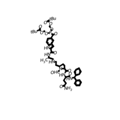 C[C@H](CNCCC1CCC(C(=O)NC(CCC(N)=O)C(=O)NC(c2ccccc2)c2ccccc2)N1C=O)NC(=O)c1cc2cc(C(=O)P(OCOC(=O)C(C)(C)C)OCOC(=O)C(C)(C)C)ccc2[nH]1